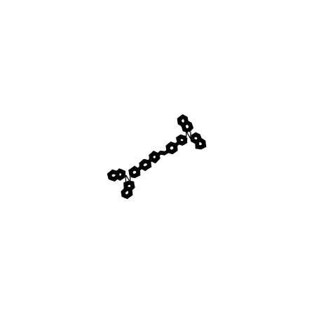 C(=C\c1ccc(-c2ccc(N(c3ccc4ccccc4c3)c3ccc4ccccc4c3)cc2)cc1)/c1ccc(-c2ccc(-c3ccc(N(c4ccc5ccccc5c4)c4ccc5ccccc5c4)cc3)cc2)cc1